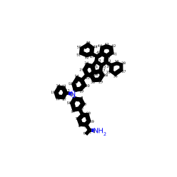 CC(N)c1ccc(-c2ccc(N(c3ccccc3)c3ccc(-c4ccc5c6c(cccc46)C4C(C6=CC=CCC6)=c6ccccc6=C(c6ccccc6)C54)cc3)cc2)cc1